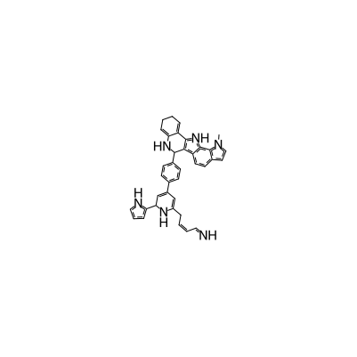 Cn1ccc2ccc3c4c([nH]c3c21)C1=CCCC=C1NC4c1ccc(C2=CC(c3ccc[nH]3)NC(C/C=C\C=N)=C2)cc1